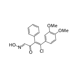 COc1ccc(C(Cl)=C(C(=O)C=NO)c2ccccc2)cc1OC